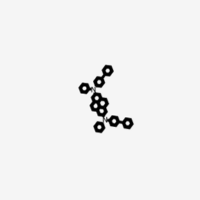 c1ccc(-c2ccc(N(c3ccccc3)c3cc4ccc5cc(N(c6ccccc6)c6ccc(-c7ccccc7)cc6)cc6ccc(c3)c4c56)cc2)cc1